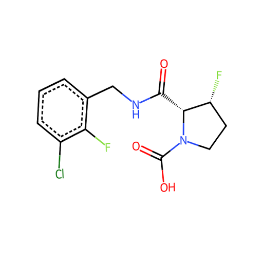 O=C(NCc1cccc(Cl)c1F)[C@@H]1[C@H](F)CCN1C(=O)O